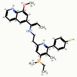 C/C=C(\NCCc1cc(P(C)CC)c(C)c(-c2ccc(F)cc2)n1)c1cc(OC)c2ncccc2c1